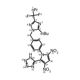 CCCCc1nc(C(F)(F)CCC)nn1Cc1ccc(-n2c([N+](=O)[O-])cc([N+](=O)[O-])c2-c2nnn[nH]2)cc1